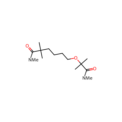 CNC(=O)C(C)(C)CCCCOC(C)(C)C(=O)NC